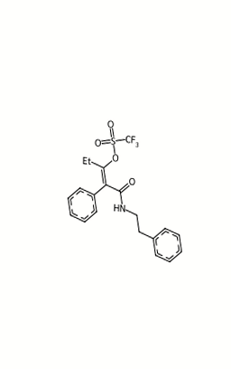 CCC(OS(=O)(=O)C(F)(F)F)=C(C(=O)NCCc1ccccc1)c1ccccc1